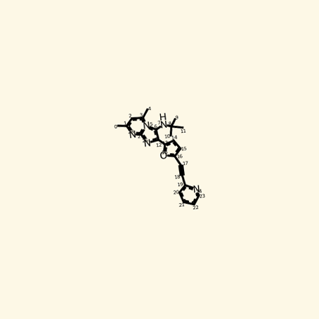 Cc1cc(C)n2c(NC(C)(C)C)c(-c3ccc(C#Cc4ccccn4)o3)nc2n1